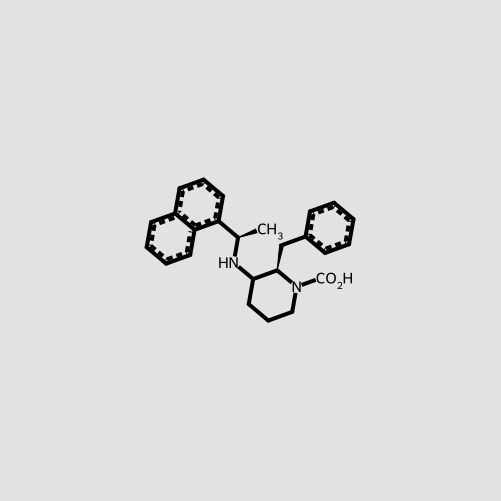 C[C@@H](NC1CCCN(C(=O)O)[C@@H]1Cc1ccccc1)c1cccc2ccccc12